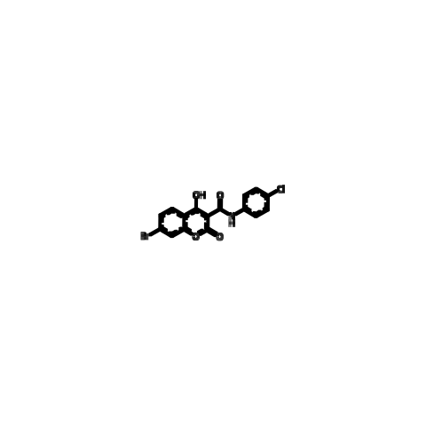 O=C(Nc1ccc(Cl)cc1)c1c(O)c2ccc(Br)cc2oc1=O